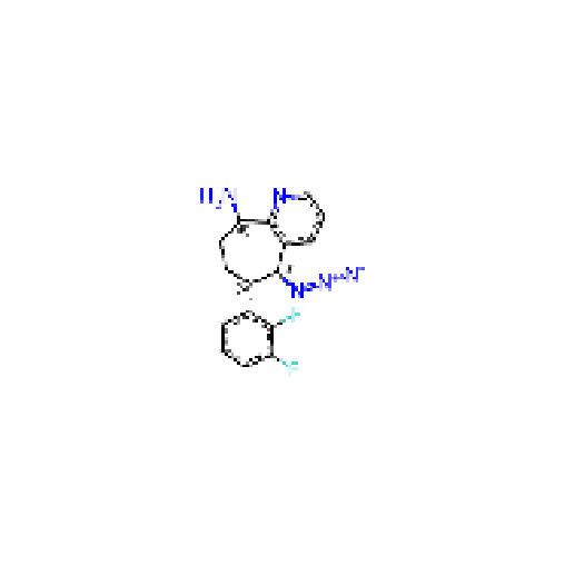 [N-]=[N+]=N[C@@H]1c2cccnc2[C@H](N)CC[C@H]1c1cccc(F)c1F